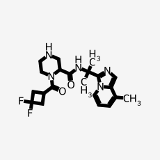 Cc1cccn2c(C(C)(C)NC(=O)C3CNCCN3C(=O)C3CC(F)(F)C3)ncc12